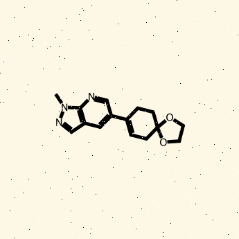 Cn1ncc2cc(C3=CCC4(CC3)OCCO4)cnc21